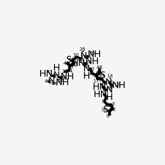 Cc1ccc(CCNC(=N)NC(=N)N(C)Cc2cc(CCNC(=N)NC(=N)N(C)CCc3cc(CCNC(=N)NC(=N)N(C)C)cs3)c(C)s2)s1